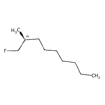 CCCCCCC[C@H](C)CF